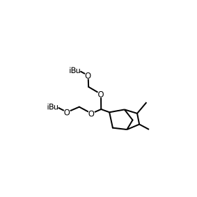 CCC(C)OCOC(OCOC(C)CC)C1CC2CC1C(C)C2C